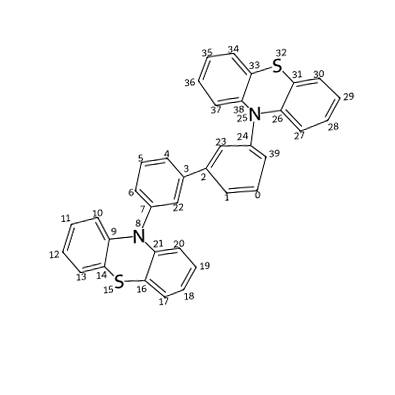 c1cc(-c2cccc(N3c4ccccc4Sc4ccccc43)c2)cc(N2c3ccccc3Sc3ccccc32)c1